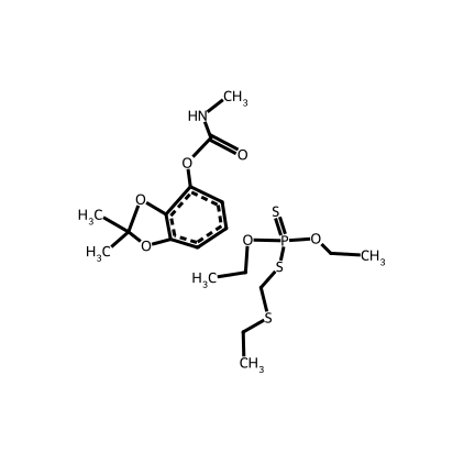 CCOP(=S)(OCC)SCSCC.CNC(=O)Oc1cccc2c1OC(C)(C)O2